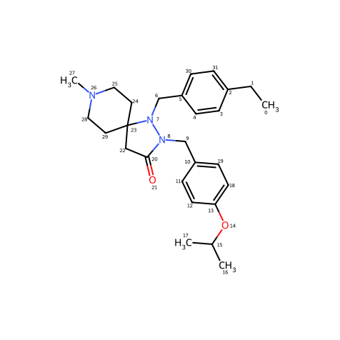 CCc1ccc(CN2N(Cc3ccc(OC(C)C)cc3)C(=O)CC23CCN(C)CC3)cc1